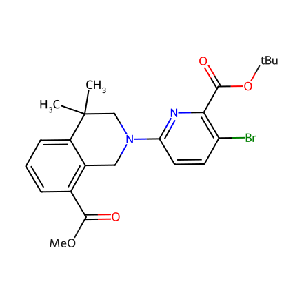 COC(=O)c1cccc2c1CN(c1ccc(Br)c(C(=O)OC(C)(C)C)n1)CC2(C)C